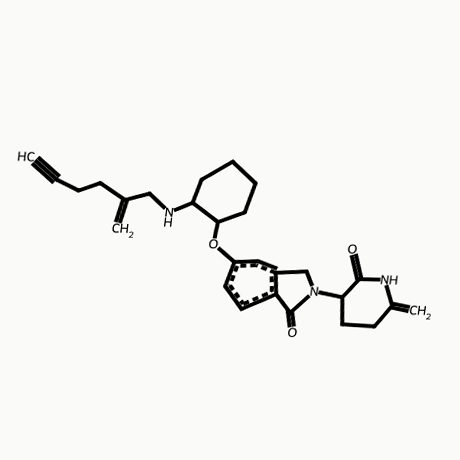 C#CCCC(=C)CNC1CCCCC1Oc1ccc2c(c1)CN(C1CCC(=C)NC1=O)C2=O